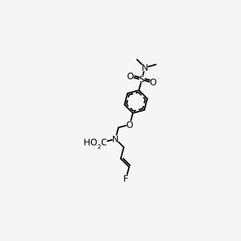 CN(C)S(=O)(=O)c1ccc(OCN(CC=CF)C(=O)O)cc1